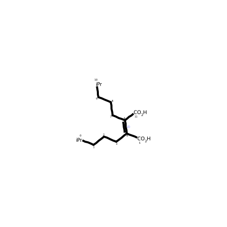 CC(C)CCC/C(C(=O)O)=C(\CCCC(C)C)C(=O)O